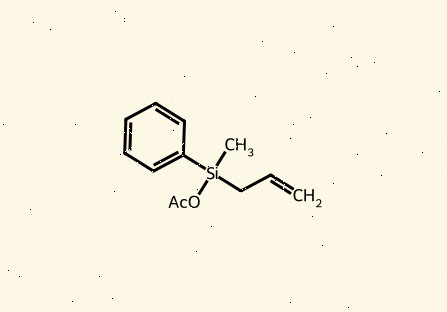 C=CC[Si](C)(OC(C)=O)c1ccccc1